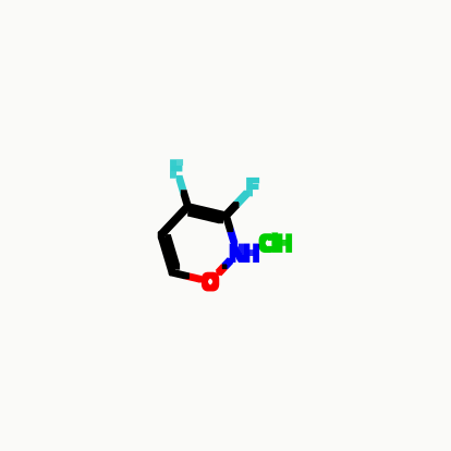 Cl.FC1=C(F)NOC=C1